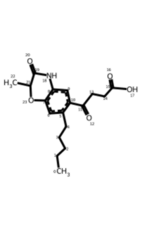 CCCCCc1cc2c(cc1C(=O)CCC(=O)O)NC(=O)C(C)O2